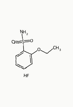 CCOc1ccccc1S(N)(=O)=O.F